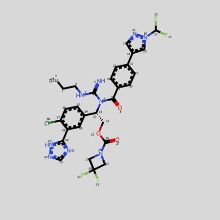 CC(C)(C)CCNC(=N)N(C(=O)c1ccc(-c2cnn(C(F)F)c2)cc1)[C@H](COC(=O)N1CC(F)(F)C1)c1ccc(Cl)c(-c2ncn[nH]2)c1